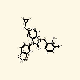 O=c1n(Cc2cccc(F)c2F)c2cnc(NC3CC3)nc2n1-c1ccc2c(c1)OCO2